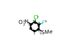 CSc1ccc([N+](=O)[O-])c(Cl)c1F